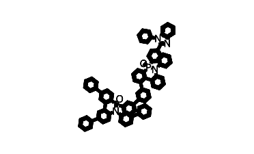 O=P1(c2cccc(-c3cccc(-c4cccc5c4-c4ccccc4N(c4ccccc4)P5(=O)c4ccc(-c5nc6ccccc6n5-c5ccccc5)cc4)c3)c2)c2ccc(-c3ccccc3)cc2-c2cc(-c3ccccc3)ccc2N1c1cccc(-c2ccccc2)c1